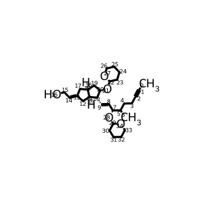 CC#CCCC(C)[C@@H](/C=C/[C@@H]1[C@H]2C/C(=C/CO)C[C@H]2C[C@H]1OC1CCCCO1)OC1CCCCO1